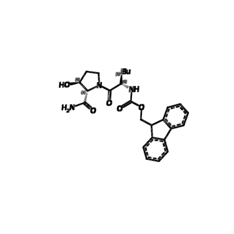 CC[C@H](C)[C@H](NC(=O)OCC1c2ccccc2-c2ccccc21)C(=O)N1CC[C@H](O)[C@H]1C(N)=O